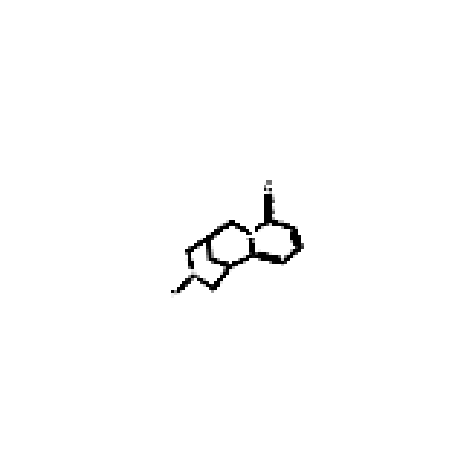 O=c1cccc2n1CC1CC2CN(F)C1